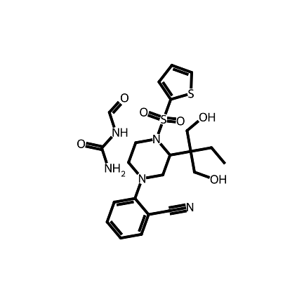 CCC(CO)(CO)C1CN(c2ccccc2C#N)CCN1S(=O)(=O)c1cccs1.NC(=O)NC=O